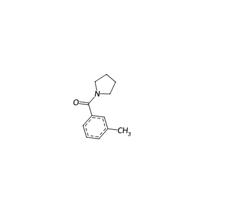 Cc1cccc(C(=O)N2CCCC2)c1